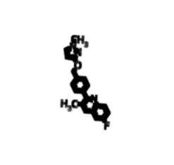 Cc1cc2cc(F)ccc2nc1-c1ccc(COc2ccn(C)n2)cc1